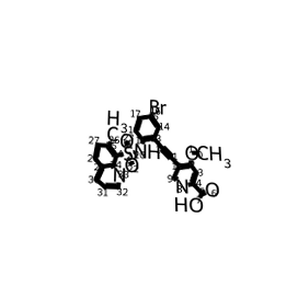 COc1cc(C(=O)O)ncc1C#Cc1cc(Br)ccc1NS(=O)(=O)c1c(C)ccc2cccnc12